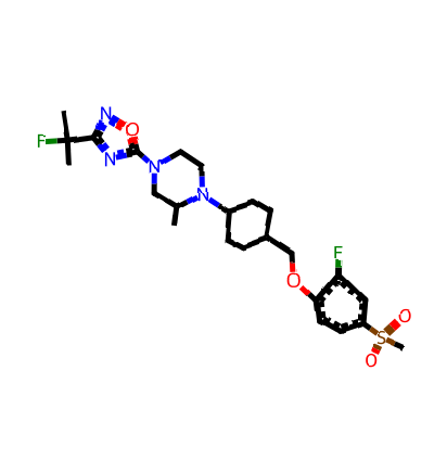 CC1CN(c2nc(C(C)(C)F)no2)CCN1C1CCC(COc2ccc(S(C)(=O)=O)cc2F)CC1